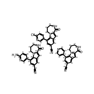 N#Cc1cc(-c2ccc(Cl)nc2)c2c(c1)cc1n2CCCNC1=O.N#Cc1cc(-c2ccc(N)nc2)c2c(c1)cc1n2CCCNC1=O.N#Cc1cc(-c2ccncc2)c2c(c1)cc1n2CCCNC1=O